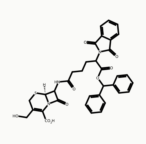 O=C(CCCC(C(=O)OC(c1ccccc1)c1ccccc1)N1C(=O)c2ccccc2C1=O)NC1C(=O)N2C(C(=O)O)=C(CO)CS[C@@H]12